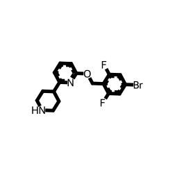 Fc1cc(Br)cc(F)c1COc1cccc(C2CCNCC2)n1